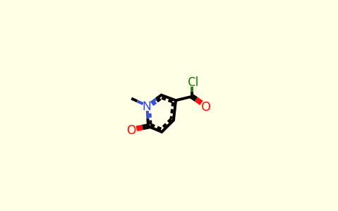 Cn1cc(C(=O)Cl)ccc1=O